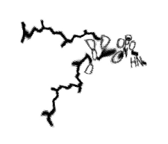 CNCCOP(=O)(N=O)OCC(COC(=O)CC(C)CCCC(C)CCCC(C)CCCC(C)C)OC(=O)CC(C)CCCC(C)CCCC(C)CCCC(C)C